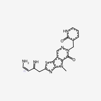 Cn1c2nc(CC(=N)/C=C\N)sc2c2cnn(Cc3ccc[nH]c3=O)c(=O)c21